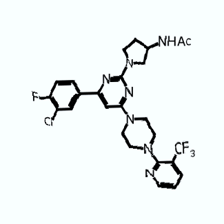 CC(=O)NC1CCN(c2nc(-c3ccc(F)c(Cl)c3)cc(N3CCN(c4ncccc4C(F)(F)F)CC3)n2)C1